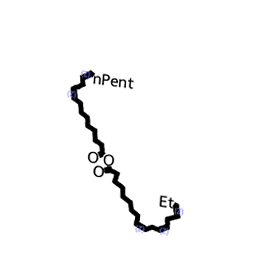 CC/C=C\C/C=C\C/C=C\CCCCCCCC(=O)OC(=O)CCCCCCC/C=C\C/C=C\CCCCC